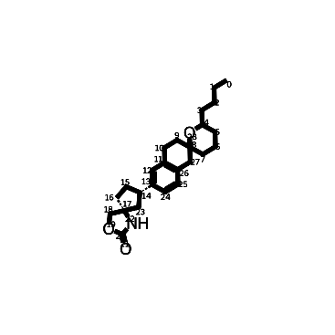 CCCCC1CCCC2(CCc3cc([C@H]4CC[C@]5(COC(=O)N5)C4)ccc3C2)O1